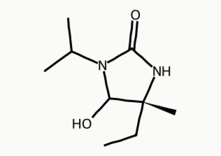 CC[C@@]1(C)NC(=O)N(C(C)C)C1O